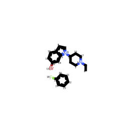 CCN1CCC(n2ccc3ccc(Br)cc32)CC1.Fc1ccccc1